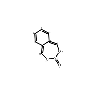 O=S1OC=c2ccccc2=CO1